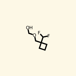 OCOCC1(C(F)F)CCC1